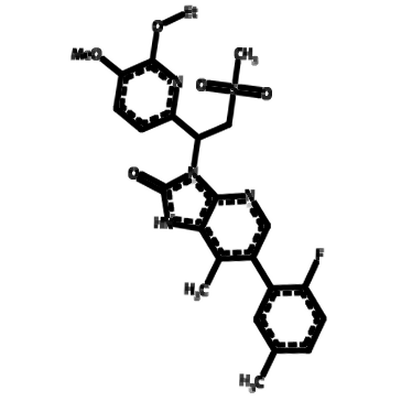 CCOc1nc(C(CS(C)(=O)=O)n2c(=O)[nH]c3c(C)c(-c4cc(C)ccc4F)cnc32)ccc1OC